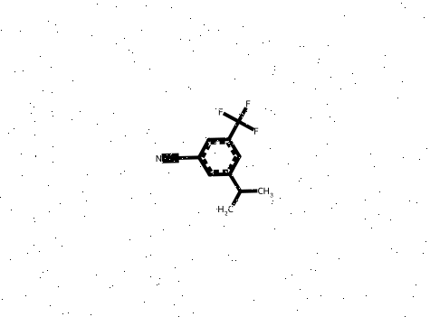 [CH2]C(C)c1cc(C#N)cc(C(F)(F)F)c1